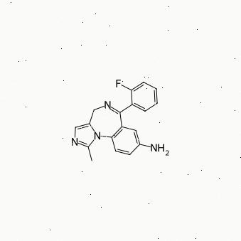 Cc1ncc2n1-c1ccc(N)cc1C(c1ccccc1F)=NC2